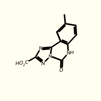 Cc1ccc2[nH]c(=O)n3nc(C(=O)O)nc3c2c1